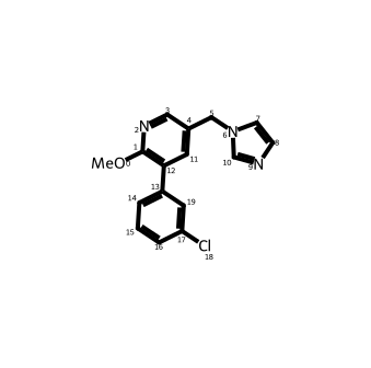 COc1ncc(Cn2ccnc2)cc1-c1cccc(Cl)c1